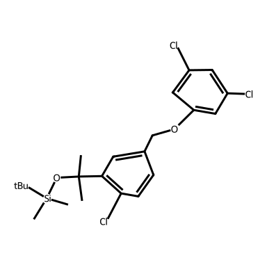 CC(C)(O[Si](C)(C)C(C)(C)C)c1cc(COc2cc(Cl)cc(Cl)c2)ccc1Cl